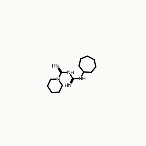 N=C(NC(=N)N1CCCCC1)NC1CCCCCC1